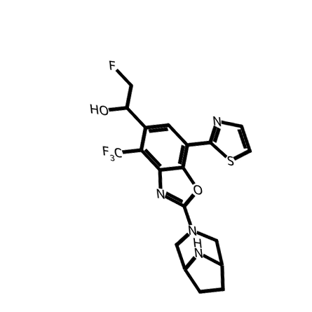 OC(CF)c1cc(-c2nccs2)c2oc(N3CC4CCC(C3)N4)nc2c1C(F)(F)F